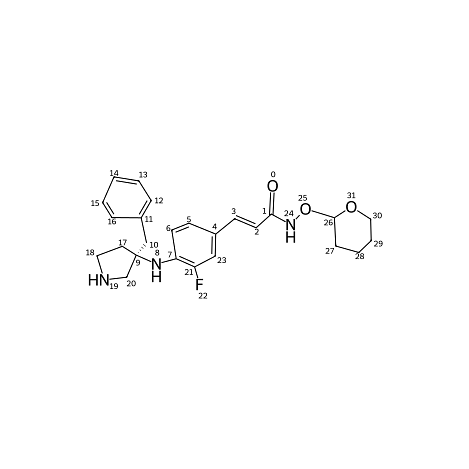 O=C(/C=C/c1ccc(N[C@]2(Cc3ccccc3)CCNC2)c(F)c1)NOC1CCCCO1